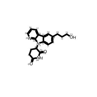 O=C1CCC(n2c3ccc(CCCO)cc3c3cccnc32)C(=O)N1